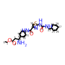 CCOC(=O)CC(N)c1ccc(NC(=O)c2csc(NC(=O)NCc3ccccc3)n2)cc1